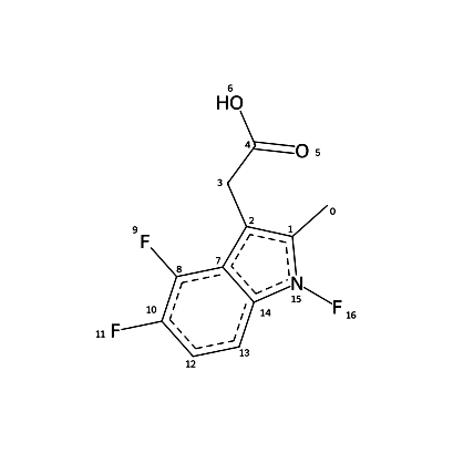 Cc1c(CC(=O)O)c2c(F)c(F)ccc2n1F